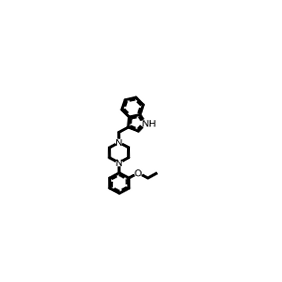 CCOc1ccccc1N1CCN(Cc2c[nH]c3ccccc23)CC1